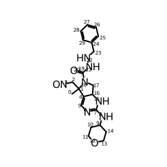 CC1(CN=O)C2=CN=C(NC3CCOCC3)NC2CN1C(=O)NNCc1ccccc1